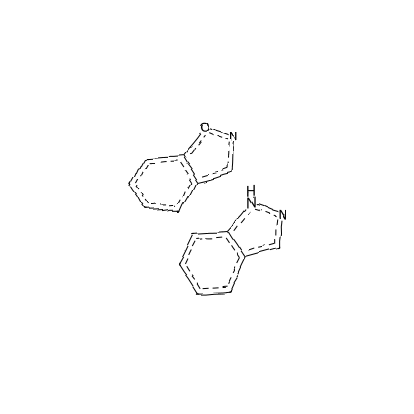 c1ccc2[nH]ncc2c1.c1ccc2oncc2c1